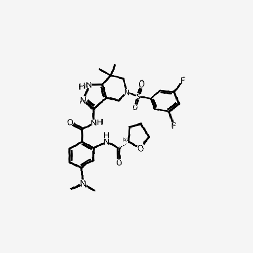 CN(C)c1ccc(C(=O)Nc2n[nH]c3c2CN(S(=O)(=O)c2cc(F)cc(F)c2)CC3(C)C)c(NC(=O)[C@@H]2CCCO2)c1